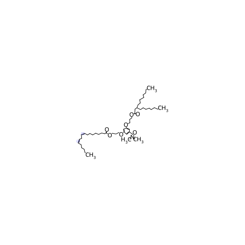 CCCCC/C=C\C/C=C\CCCCCCCC(=O)OCCCOc1cc(OCCCOC(=O)CC(CCCCCCCC)CCCCCCCC)cc(C(=O)N(C)C)c1